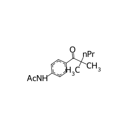 CCCC(C)(C)C(=O)c1ccc(NC(C)=O)cc1